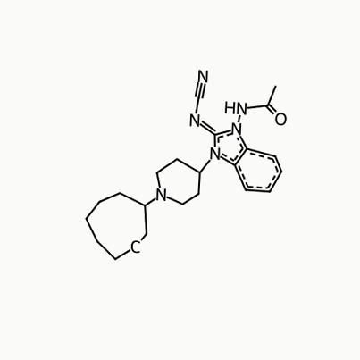 CC(=O)Nn1c(=NC#N)n(C2CCN(C3CCCCCCC3)CC2)c2ccccc21